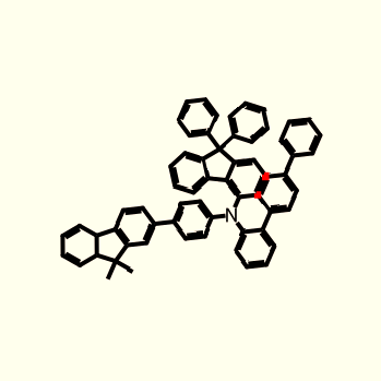 CC1(C)c2cc(-c3ccc(N(c4ccccc4-c4ccc(-c5ccccc5)cc4)c4cccc5c4-c4ccccc4C5(c4ccccc4)c4ccccc4)cc3)ccc2C2C=CC=CC21